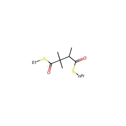 CCCSC(=O)C(C)C(C)(C)C(=O)SCC